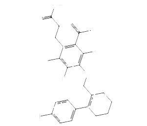 C=C(C)c1c(F)c(OCC2=C(c3ccc(Cl)cc3)CCCC2)c(F)c(C)c1CCC(=O)O